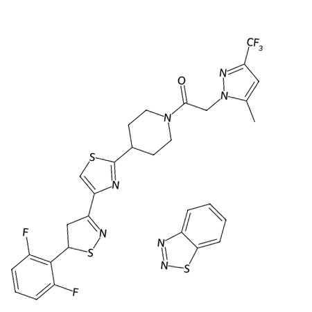 Cc1cc(C(F)(F)F)nn1CC(=O)N1CCC(c2nc(C3=NSC(c4c(F)cccc4F)C3)cs2)CC1.c1ccc2snnc2c1